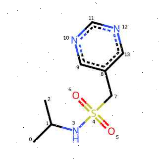 CC(C)NS(=O)(=O)Cc1cncnc1